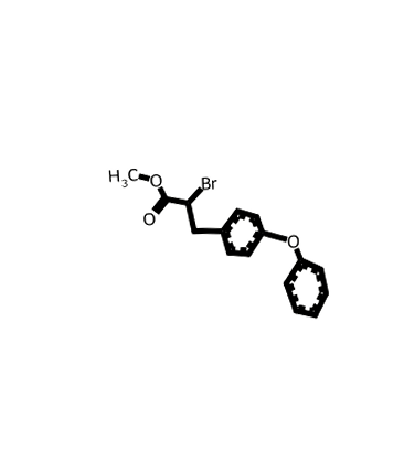 COC(=O)C(Br)Cc1ccc(Oc2ccccc2)cc1